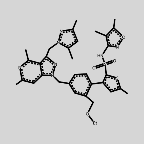 CCOCc1cc(Cn2nc(Cn3nc(C)cc3C)c3c(C)nc(C)cc32)ccc1-c1cc(C)sc1S(=O)(=O)Nc1noc(C)c1C